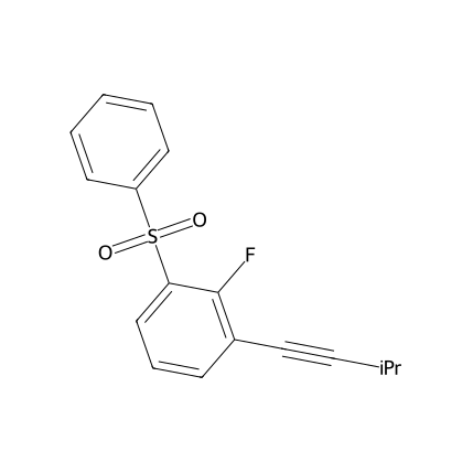 CC(C)C#Cc1cccc(S(=O)(=O)c2ccccc2)c1F